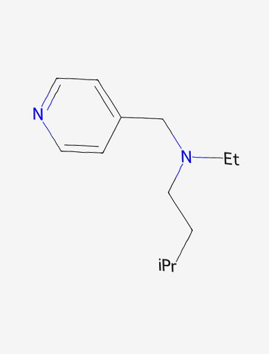 CCN(CCC(C)C)Cc1ccncc1